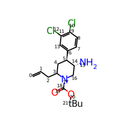 C=CCC1C[C@@H](c2ccc(Cl)c(Cl)c2)[C@H](N)CN1C(=O)OC(C)(C)C